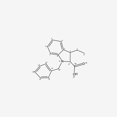 CCC1c2ccccc2N(Cc2ccccc2)C1C(=O)O